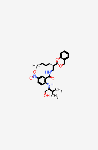 CCCC[C@@H](CNC(=O)c1cc([N+](=O)[O-])ccc1N[C@H](CO)C(C)C)[C@H]1OCc2ccccc2O1